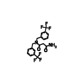 NC(=O)CC(=O)N(Cc1cccc(C(F)(F)F)c1)Cc1cccc(C(F)(F)F)c1